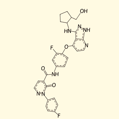 O=C(Nc1ccc(Oc2ccnc3[nH]nc(NC4CCCC4CO)c23)c(F)c1)c1ccnn(-c2ccc(F)cc2)c1=O